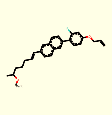 C=CCOc1ccc(-c2ccc3cc(/C=C/CCCC(C)OCCCCC)ccc3c2)c(F)c1